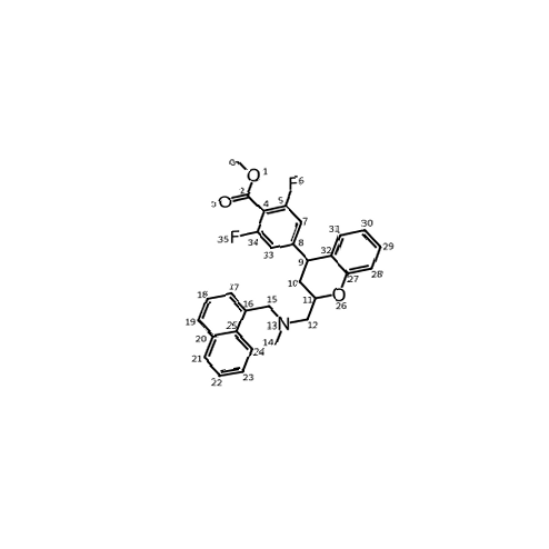 COC(=O)c1c(F)cc(C2CC(CN(C)Cc3cccc4ccccc34)Oc3ccccc32)cc1F